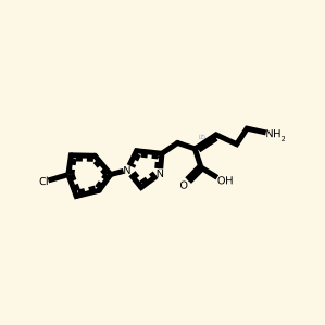 NCC/C=C(/Cc1cn(-c2ccc(Cl)cc2)cn1)C(=O)O